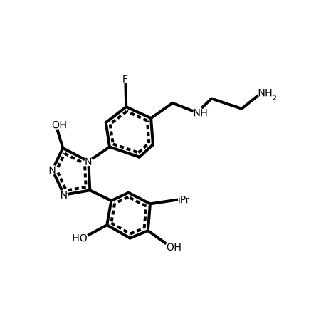 CC(C)c1cc(-c2nnc(O)n2-c2ccc(CNCCN)c(F)c2)c(O)cc1O